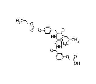 CCCOC(=O)COc1ccc(C[C@H](NC(=O)CNC(=O)c2cccc(OCC(=O)O)c2)C(=O)OCC(C)C)cc1